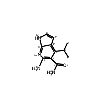 CC(C)c1c(C(N)=O)c(N)nc2[nH]ccc12